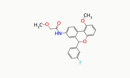 COCC(=O)Nc1ccc2c(c1)C(c1cccc(F)c1)Oc1cccc(OC)c1-2